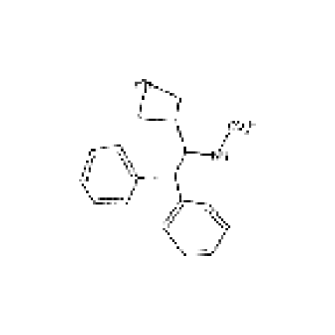 O=C(O)NC(C1CNC1)C(c1ccccc1)c1ccccc1